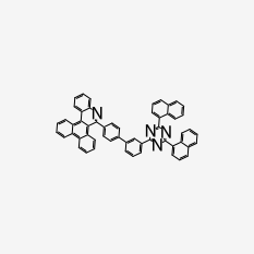 c1cc(-c2ccc(-c3nc4ccccc4c4c5ccccc5c5ccccc5c34)cc2)cc(-c2nc(-c3cccc4ccccc34)nc(-c3cccc4ccccc34)n2)c1